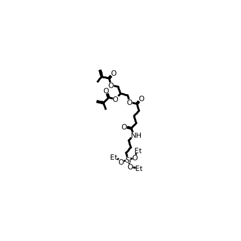 C=C(C)C(=O)OCC(COC(=O)CCCC(=O)NCCC[Si](OCC)(OCC)OCC)OC(=O)C(=C)C